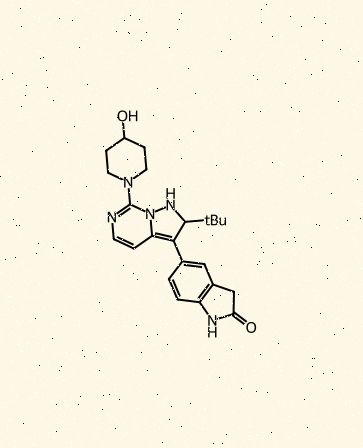 CC(C)(C)C1NN2C(N3CCC(O)CC3)=NC=CC2=C1c1ccc2c(c1)CC(=O)N2